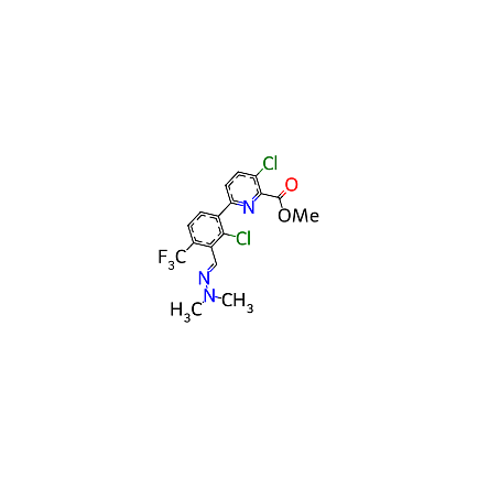 COC(=O)c1nc(-c2ccc(C(F)(F)F)c(/C=N/N(C)C)c2Cl)ccc1Cl